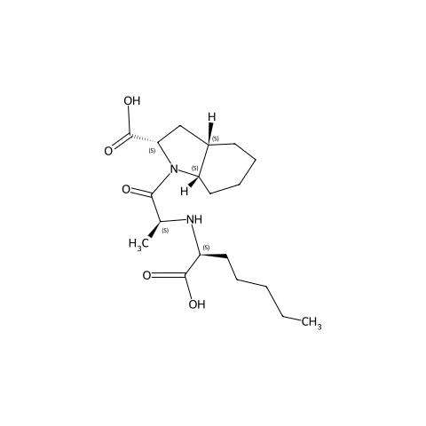 CCCCC[C@H](N[C@@H](C)C(=O)N1[C@H](C(=O)O)C[C@@H]2CCCC[C@@H]21)C(=O)O